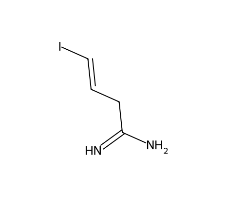 N=C(N)CC=CI